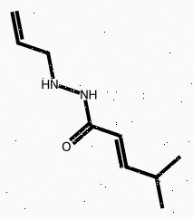 C=CCNNC(=O)/C=C/C(C)C